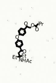 CCC(CC)(CC(=O)c1ccc(Oc2ccc(C(=O)COC(=O)C(C)C)cc2)cc1)NC(C)=O